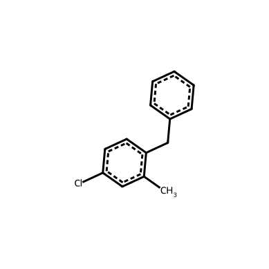 Cc1cc(Cl)ccc1Cc1ccccc1